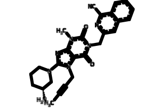 CC#CCn1c(N2CCC[C@@H](N)C2)nc2c1c(=O)n(Cc1cc3ccccc3c(C#N)n1)c(=O)n2C